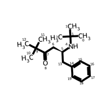 CC(C)(C)N[C@H](CC(=O)C(C)(C)C)Cc1ccccc1